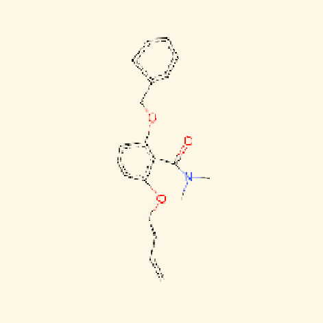 C=CCCOc1cccc(OCc2ccccc2)c1C(=O)N(C)C